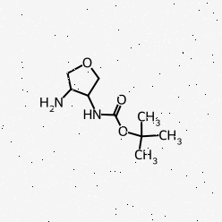 CC(C)(C)OC(=O)NC1COCC1N